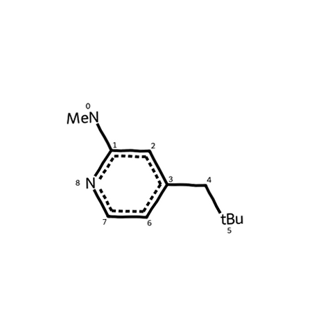 CNc1cc(CC(C)(C)C)ccn1